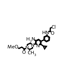 COCCC(=O)N1CCN(c2nc(C3CC3)c(-c3cccc(NC(=O)CCl)c3)cc2N)C[C@H]1C